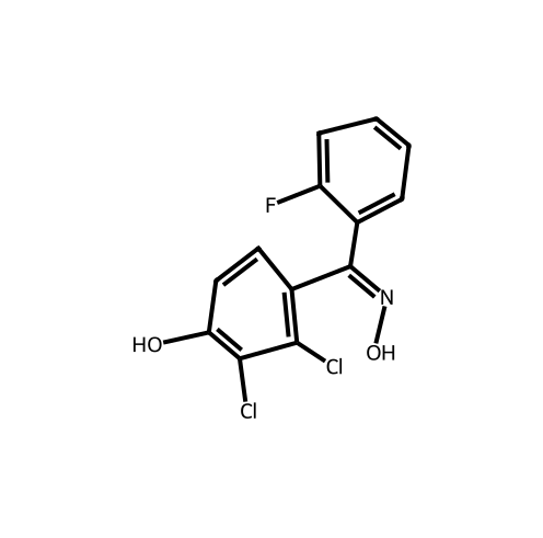 ON=C(c1ccccc1F)c1ccc(O)c(Cl)c1Cl